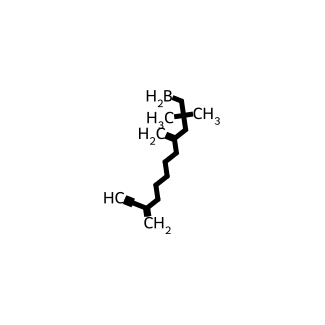 BCC(C)(C)CC(=C)CCCCCC(=C)C#C